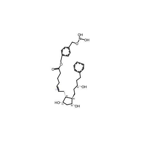 O=C(CCC/C=C\C[C@@H]1[C@@H](CC[C@@H](O)CCc2ccccc2)[C@H](O)C[C@@H]1O)OCc1ccc(CON(O)O)cc1